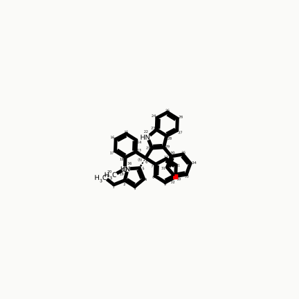 CCc1ccc([C@](c2ccccc2)(c2ccccc2OC)c2[nH]c3ccccc3c2-c2ccccc2)[nH]1